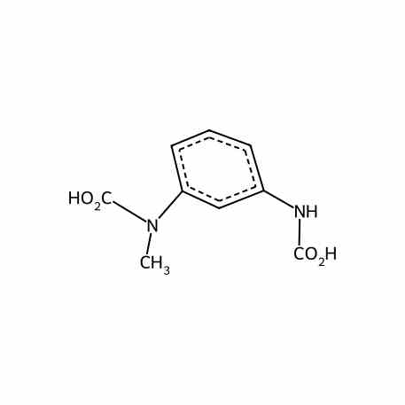 CN(C(=O)O)c1cccc(NC(=O)O)c1